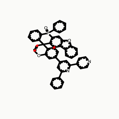 O=P1(c2ccccc2)c2ccccc2C2(c3ccccc3Oc3cc(-c4cc(-c5ccccc5)nc(-c5ccncc5)c4)ccc32)c2cc3c(cc21)oc1ccccc13